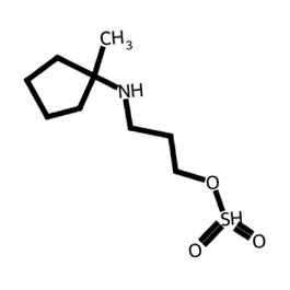 CC1(NCCCO[SH](=O)=O)CCCC1